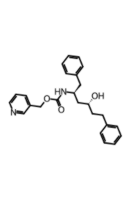 O=C(N[C@@H](Cc1ccccc1)C[C@H](O)CCc1ccccc1)OCc1cccnc1